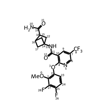 COc1c(Oc2ncc(C(F)(F)F)cc2C(=O)NC23CC(C2)C(C(N)=O)C3)ccc(F)c1F